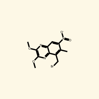 COc1nc2cc([N+](=O)[O-])c(C)c(CBr)c2nc1OC